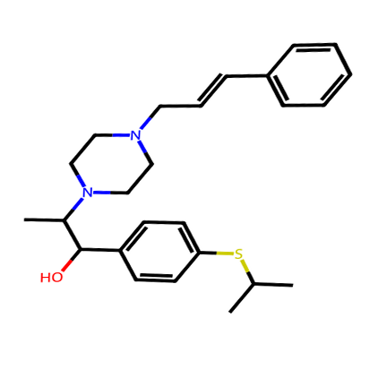 CC(C)Sc1ccc(C(O)C(C)N2CCN(CC=Cc3ccccc3)CC2)cc1